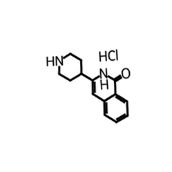 Cl.O=c1[nH]c(C2CCNCC2)cc2ccccc12